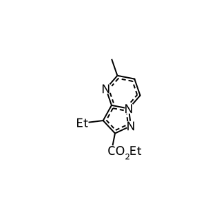 CCOC(=O)c1nn2ccc(C)nc2c1CC